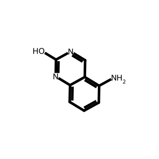 Nc1cccc2nc(O)ncc12